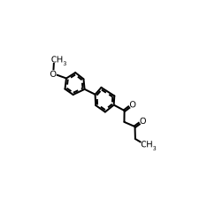 CCC(=O)CC(=O)c1ccc(-c2ccc(OC)cc2)cc1